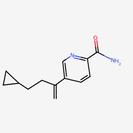 C=C(CCC1CC1)c1ccc(C(N)=O)nc1